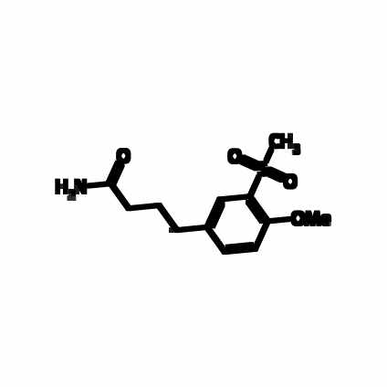 COc1ccc([CH]CCC(N)=O)cc1S(C)(=O)=O